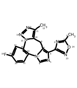 Cc1nc(-c2ncn3c2Cc2c(C)nnn2-c2cc(F)ccc2-3)no1